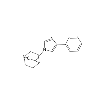 c1ccc(-c2cn(C3CN4CCC3CC4)cn2)cc1